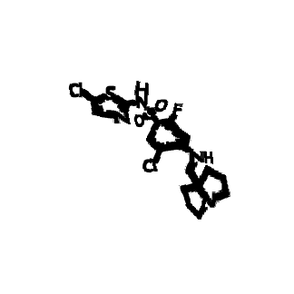 O=S(=O)(Nc1ncc(Cl)s1)c1cc(Cl)c(NCC23CCCN2CCC3)cc1F